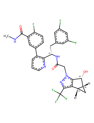 CNC(=O)c1cc(-c2cccnc2[C@H](Cc2cc(F)cc(F)c2)NC(=O)Cn2nc(C(F)(F)F)c3c2[C@H](O)[C@@H]2C[C@H]32)ccc1F